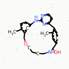 Cc1ccc2cc1COCCCCNC(O)c1ccc(c(C)c1)-c1ccnc(n1)N2